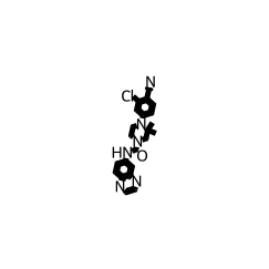 CC1(C)CN(C(=O)Nc2ccc3nccnc3c2)CCN1c1ccc(C#N)c(Cl)c1